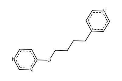 c1cc(CCCCOc2ccncn2)ccn1